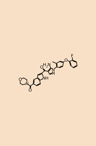 Cc1cc(Oc2ccccc2F)ccc1-n1ncc(C(=O)c2cc3cc(C(=O)N4CCOCC4)ccc3[nH]2)c1N